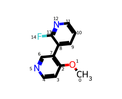 COc1ccncc1-c1cccnc1F